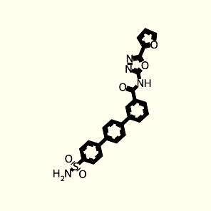 NS(=O)(=O)c1ccc(-c2ccc(-c3cccc(C(=O)Nc4nnc(-c5ccco5)o4)c3)cc2)cc1